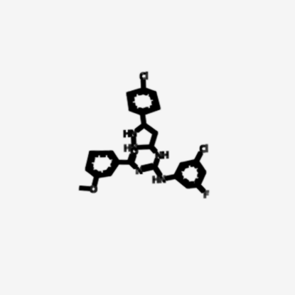 COc1cccc(C(=O)/N=C(/Nc2cc(F)cc(Cl)c2)NC2CC(c3ccc(Cl)cc3)NN2)c1